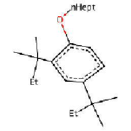 CCCCCCCOc1ccc(C(C)(C)CC)cc1C(C)(C)CC